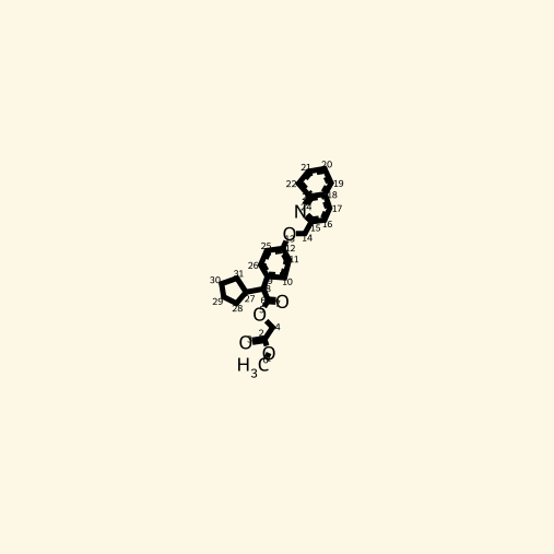 COC(=O)COC(=O)C(c1ccc(OCc2ccc3ccccc3n2)cc1)C1CCCC1